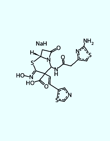 Nc1nc(CC(=O)NC2N3C(=O)C[C@H]3SC(=NO)C2(C=Cc2cncs2)C(=O)O)cs1.[NaH]